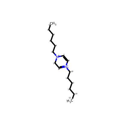 CCCCCCN1C=C[N+](CCCCCC)=CC1